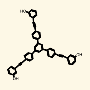 Oc1cccc(C#Cc2ccc(-c3cc(-c4ccc(C#Cc5cccc(O)c5)cc4)cc(-c4ccc(C#Cc5cccc(O)c5)cc4)c3)cc2)c1